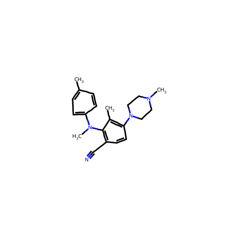 Cc1ccc(N(C)c2c(C#N)ccc(N3CCN(C)CC3)c2C)cc1